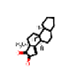 C[C@]12CC[C@H]3[C@@H](CCC4CCCC[C@@H]43)C1=CC(=O)C2=O